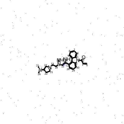 C=CC(=O)n1c2ccccc2c2c(/C(N)=C/N(N)CCN3CCC(N(C)C)C3)cccc21